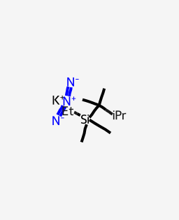 CC[Si](C)(C)C(C)(C)C(C)C.[K+].[N-]=[N+]=[N-]